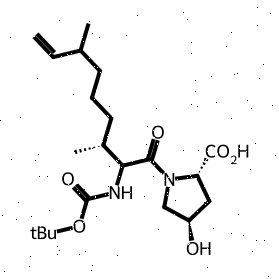 C=CC(C)CCC[C@@H](C)C(NC(=O)OC(C)(C)C)C(=O)N1C[C@H](O)C[C@H]1C(=O)O